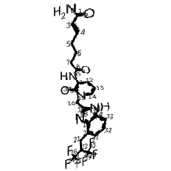 NC(=O)/C=C/CCCC(=O)Nc1cccn(Cc2nc3c(CC(C(F)(F)F)C(F)(F)F)cccc3[nH]2)c1=O